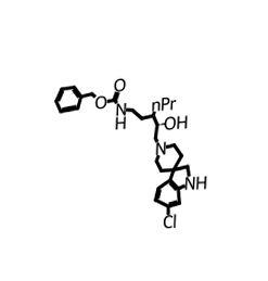 CCCC(CCNC(=O)OCc1ccccc1)[C@H](O)CN1CCC2(CC1)CNc1cc(Cl)ccc12